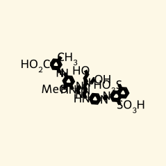 COc1cc(/N=N/c2cc(C)cc(C(=O)O)c2)ccc1Nc1nc(Nc2ccc(/N=N/c3cc(S(=O)(=O)O)c4cccc(S(=O)(=O)O)c4c3)cc2)nc(N(CCO)CCO)n1